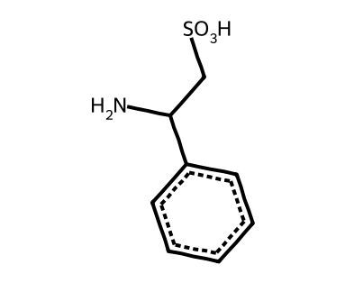 NC(CS(=O)(=O)O)c1ccccc1